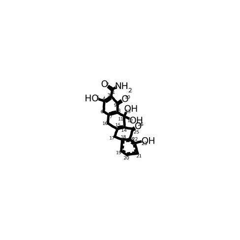 NC(=O)C1=C(O)CC2=C(C1=O)C(O)(O)C1=C(C2)Cc2cccc(O)c2C1=O